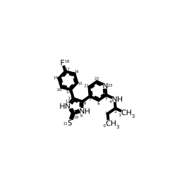 CCC(C)Nc1cc(-c2[nH]c(=S)[nH]c2-c2ccc(F)cc2)ccn1